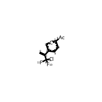 C=C(c1ccc(C(C)=O)cc1)C(F)(F)Cl